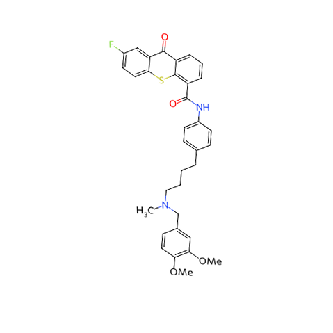 COc1ccc(CN(C)CCCCc2ccc(NC(=O)c3cccc4c(=O)c5cc(F)ccc5sc34)cc2)cc1OC